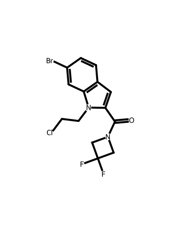 O=C(c1cc2ccc(Br)cc2n1CCCl)N1CC(F)(F)C1